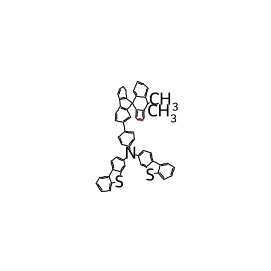 CC1(C)c2ccccc2C2(C3=C(C=CCC3)c3ccc(-c4ccc(N(c5ccc6c(c5)sc5ccccc56)c5ccc6c(c5)sc5ccccc56)cc4)cc32)c2ccccc21